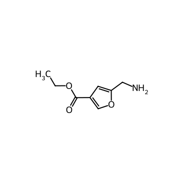 CCOC(=O)c1coc(CN)c1